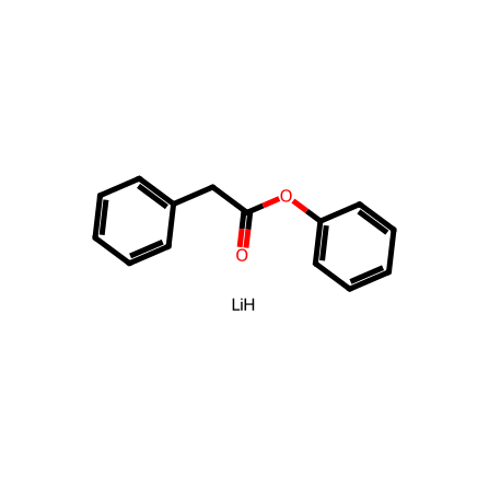 O=C(Cc1ccccc1)Oc1ccccc1.[LiH]